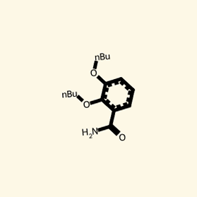 CCCCOc1cccc(C(N)=O)c1OCCCC